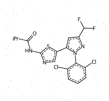 CC(C)C(=O)Nc1ncc(-c2cc(C(F)F)nn2-c2c(Cl)cccc2Cl)s1